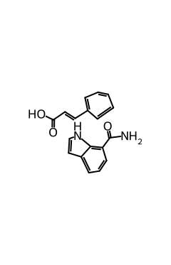 NC(=O)c1cccc2cc[nH]c12.O=C(O)C=Cc1ccccc1